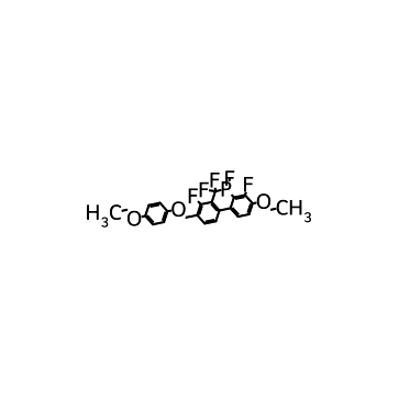 CCOc1ccc(OCc2ccc3c(c2F)C(F)(F)P(F)c2c-3ccc(OCC)c2F)cc1